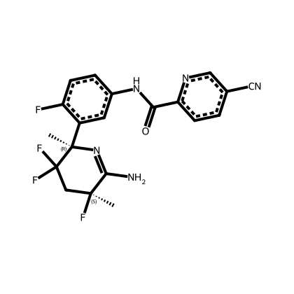 C[C@]1(F)CC(F)(F)[C@@](C)(c2cc(NC(=O)c3ccc(C#N)cn3)ccc2F)N=C1N